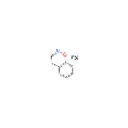 C1=NOc2ccccc2C1.[Pb]